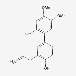 C=CCc1cc(-c2cc(OC)c(OC)cc2CCC)ccc1O